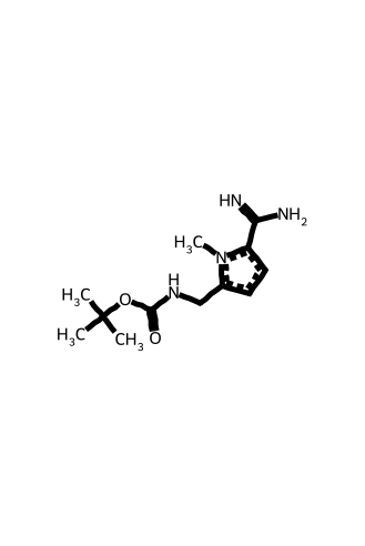 Cn1c(CNC(=O)OC(C)(C)C)ccc1C(=N)N